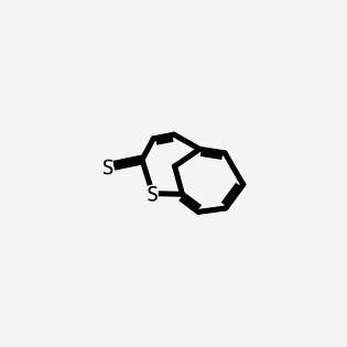 S=C1C=CC2=CC=CC=C(C2)S1